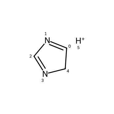 C1=NC=NC1.[H+]